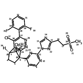 CC1(C)[C@H]2CC[C@@]1(c1ccnc(-n3cnc(CCS(C)(=O)=O)n3)n1)c1nnc(-c3c(F)cccc3F)c(Cl)c12